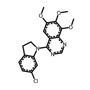 COc1cc2c(N3CCc4ccc(Cl)cc43)ncnc2c(OC)c1OC